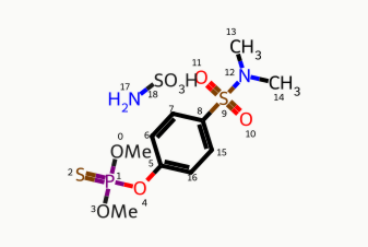 COP(=S)(OC)Oc1ccc(S(=O)(=O)N(C)C)cc1.NS(=O)(=O)O